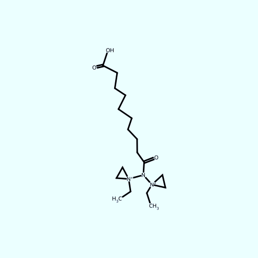 CC[N+]1(N(C(=O)CCCCCCCCC(=O)O)[N+]2(CC)CC2)CC1